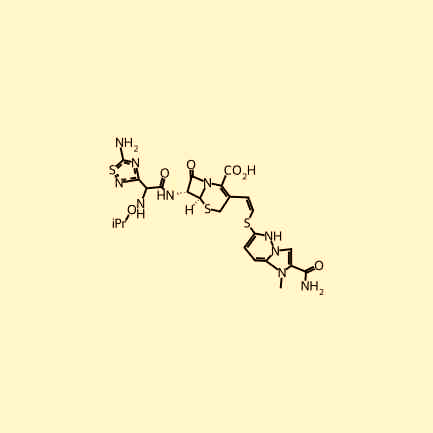 CC(C)ONC(C(=O)N[C@@H]1C(=O)N2C(C(=O)O)=C(/C=C\SC3=CC=C4N(C=C(C(N)=O)N4C)N3)CS[C@@H]12)c1nsc(N)n1